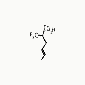 CC=CCC(C(=O)O)C(F)(F)F